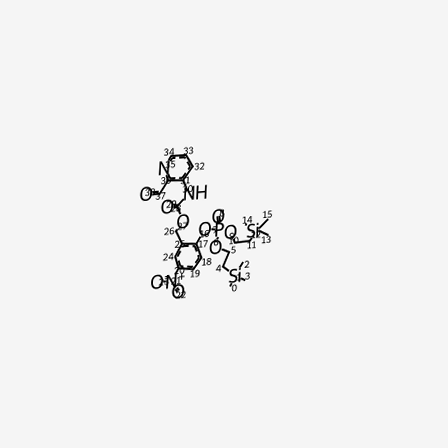 C[Si](C)(C)CCOP(=O)(OCC[Si](C)(C)C)Oc1ccc([N+](=O)[O-])cc1COC(=O)Nc1cccnc1C=O